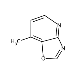 Cc1ccnc2ncoc12